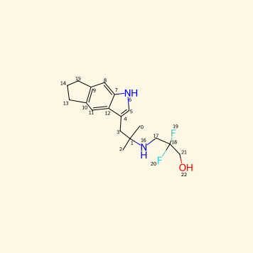 CC(C)(Cc1c[nH]c2cc3c(cc12)CCC3)NCC(F)(F)CO